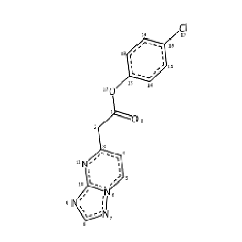 O=C(Cc1ccn2ncnc2n1)Oc1ccc(Cl)cc1